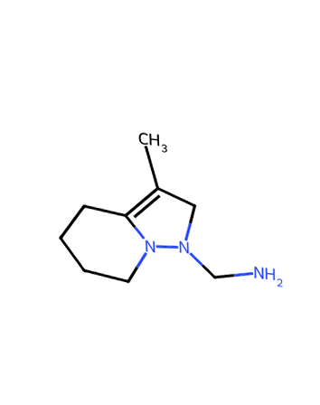 CC1=C2CCCCN2N(CN)C1